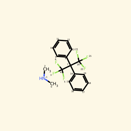 CNC.FC(F)(F)C(c1ccccc1)(c1ccccc1)C(F)(F)F